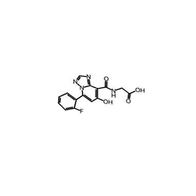 O=C(O)CNC(=O)c1c(O)cc(-c2ccccc2F)n2ncnc12